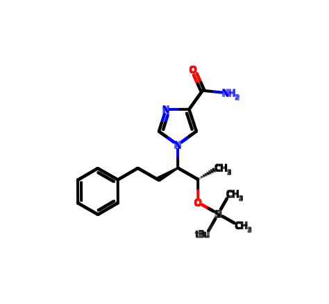 C[C@H](O[Si](C)(C)C(C)(C)C)[C@@H](CCc1ccccc1)n1cnc(C(N)=O)c1